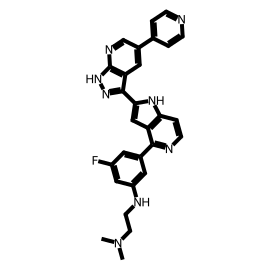 CN(C)CCNc1cc(F)cc(-c2nccc3[nH]c(-c4n[nH]c5ncc(-c6ccncc6)cc45)cc23)c1